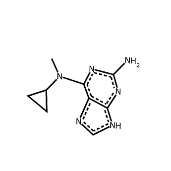 CN(c1nc(N)nc2[nH]cnc12)C1CC1